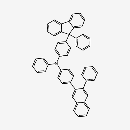 c1ccc(-c2cc3ccccc3cc2-c2ccc(N(c3ccccc3)c3ccc(C4(c5ccccc5)c5ccccc5-c5ccccc54)cc3)cc2)cc1